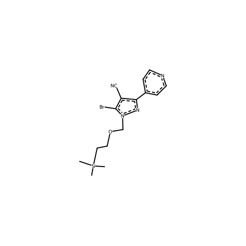 C[Si](C)(C)CCOCn1nc(-c2ccncc2)c(C#N)c1Br